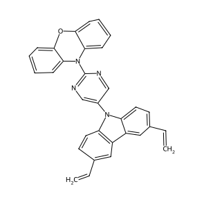 C=Cc1ccc2c(c1)c1cc(C=C)ccc1n2-c1cnc(N2c3ccccc3Oc3ccccc32)nc1